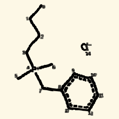 CCCC[P+](C)(C)Cc1ccccc1.[Cl-]